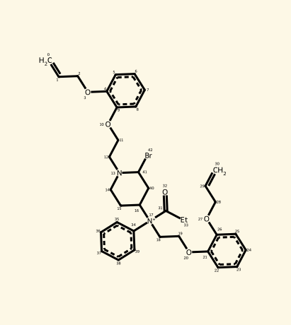 C=CCOc1ccccc1OCCN1CCC([N+](CCOc2ccccc2OCC=C)(C(=O)CC)c2ccccc2)CC1Br